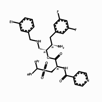 CCCC(CCC)S(=O)(=O)C[C@H](NC(=O)c1ccncc1)C(=O)O[C@H](CNCc1cccc(CC)c1)[C@@H](N)Cc1cc(F)cc(F)c1